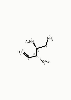 C=C[C@@H](OC)[C@H](CN)NC(C)=O